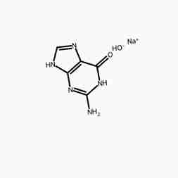 Nc1nc2[nH]cnc2c(=O)[nH]1.[Na+].[OH-]